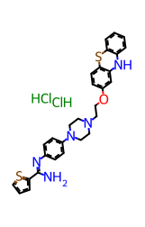 Cl.Cl.N/C(=N\c1ccc(N2CCN(CCOc3ccc4c(c3)Nc3ccccc3S4)CC2)cc1)c1cccs1